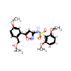 COCc1ccc(OC)cc1-c1cc(NS(=O)(=O)c2c(OC)cccc2OC)no1